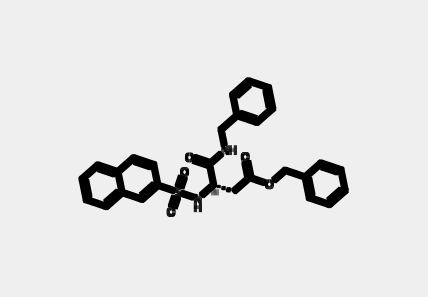 O=C(C[C@H](NS(=O)(=O)c1ccc2ccccc2c1)C(=O)NCc1ccccc1)OCc1ccccc1